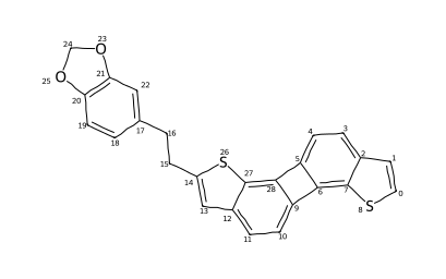 c1cc2ccc3c(c2s1)-c1ccc2cc(CCc4ccc5c(c4)OCO5)sc2c1-3